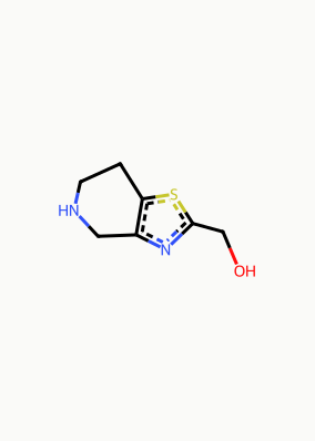 OCc1nc2c(s1)CCNC2